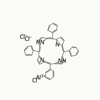 C1=Cc2nc1c(-c1ccccc1)c1ccc([nH]1)c(-c1ccccc1)c1nc(c(-c3ccccc3)c3ccc([nH]3)c2-c2ccccc2)C=C1.[Al+3].[Cl-].[Cl-].[Cl-]